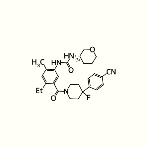 CCc1cc(C)c(NC(=O)N[C@H]2CCCOC2)cc1C(=O)N1CCC(F)(c2ccc(C#N)cc2)CC1